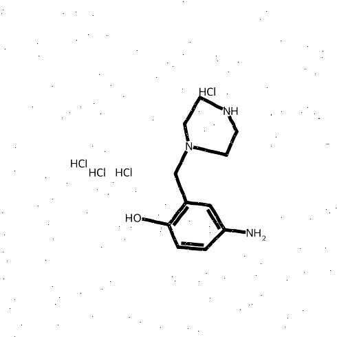 Cl.Cl.Cl.Cl.Nc1ccc(O)c(CN2CCNCC2)c1